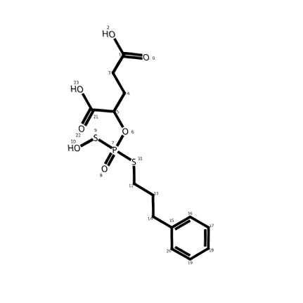 O=C(O)CCC(OP(=O)(SO)SCCCc1ccccc1)C(=O)O